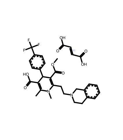 COC(=O)C1=C(CCN2CCc3ccccc3C2)N(C)C(C)=C(C(=O)O)C1c1ccc(C(F)(F)F)cc1.O=C(O)/C=C/C(=O)O